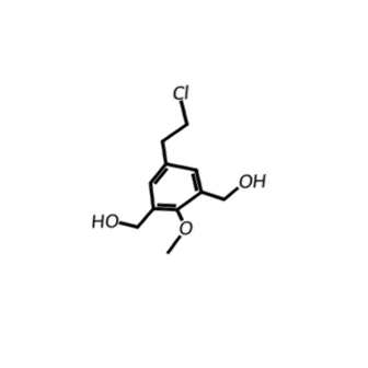 COc1c(CO)cc(CCCl)cc1CO